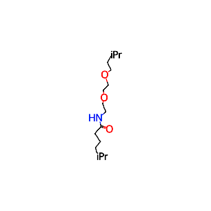 CC(C)CCCC(=O)NCCOCCOCCC(C)C